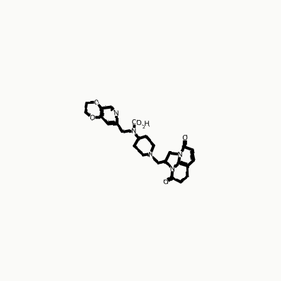 O=C(O)N(Cc1cc2c(cn1)OCCO2)C1CCN(CC2Cn3c4c(ccc3=O)CCC(=O)N42)CC1